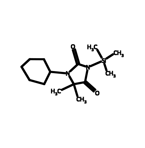 CC1(C)C(=O)N([Si](C)(C)C)C(=O)N1C1CCCCC1